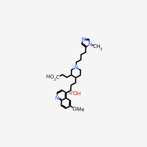 COc1ccc2nccc([C@@H](O)CCC3CCN(CCCCc4cncn4C)CC3CCC(=O)O)c2c1